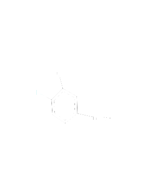 CCCCCCc1ccc(F)c(C(F)(F)F)c1